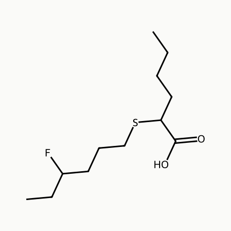 CCCCC(SCCCC(F)CC)C(=O)O